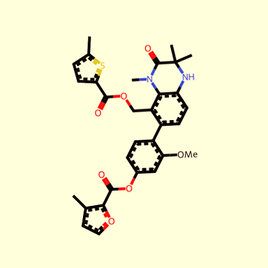 COc1cc(OC(=O)c2occc2C)ccc1-c1ccc2c(c1COC(=O)c1ccc(C)s1)N(C)C(=O)C(C)(C)N2